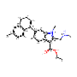 CCOC(=O)c1c(CNC)n(C)c2cc(C3=CCCc4cc(C)ccc43)ccc12